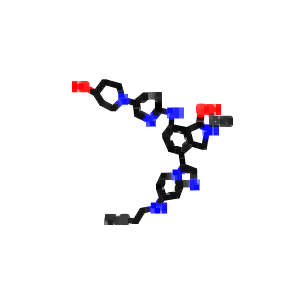 COCCNc1ccn2c(-c3ccc(Nc4ccc(N5CCC(O)CC5)cn4)c4c3CNC4=O)cnc2c1.O=CO